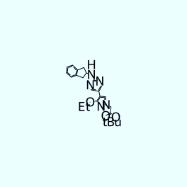 CCOc1nn(CC(=O)OC(C)(C)C)cc1-c1cnc(NC2Cc3ccccc3C2)nc1